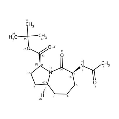 CC(=O)N[C@H]1CCC[C@H]2CC[C@@H](C(=O)OC(C)(C)C)N2C1=O